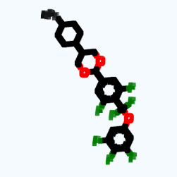 CCCC1CCC(C2COC(c3cc(F)c(C(F)(F)Oc4cc(F)c(F)c(F)c4)c(F)c3)OC2)CC1